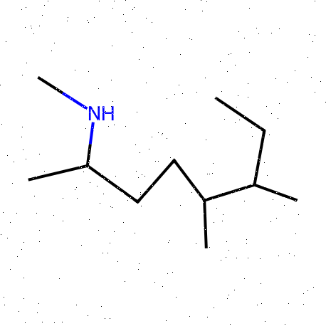 CCC(C)C(C)CCC(C)NC